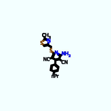 CCCc1ccc(-c2c(C#N)c(N)nc(SCc3csc(C)n3)c2C#N)cc1